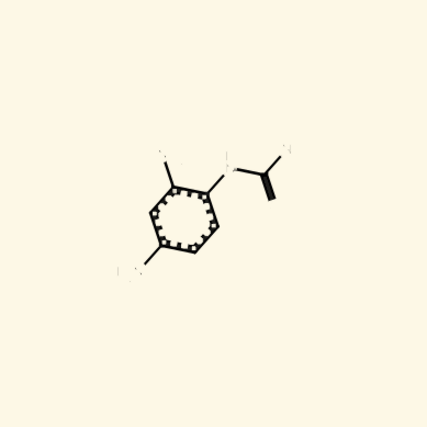 NC(=O)Nc1ccc(N)cc1N